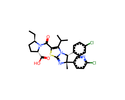 CC[C@@H]1CC[C@@H](C(=O)O)N1C(=O)C1=C(C(C)C)N2C(=N[C@@](C)(c3ccc(Cl)nc3)[C@H]2c2ccc(Cl)cc2)S1